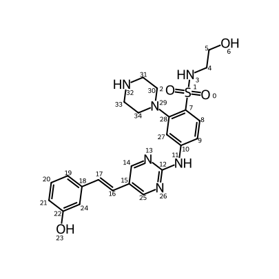 O=S(=O)(NCCO)c1ccc(Nc2ncc(C=Cc3cccc(O)c3)cn2)cc1N1CCNCC1